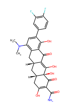 CN(C)c1cc(-c2ccc(F)c(F)c2)c(O)c2c1C[C@H]1C[C@H]3CC(O)=C(C(N)=O)C(=O)[C@@]3(O)C(O)=C1C2=O